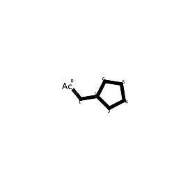 [CH2]C(=O)CC1CCCC1